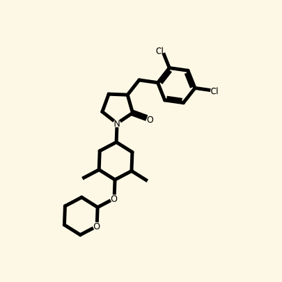 CC1CC(N2CCC(Cc3ccc(Cl)cc3Cl)C2=O)CC(C)C1OC1CCCCO1